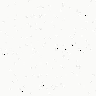 CN1CCN(CCCc2cccnc2)C1=NC(C)(C)C